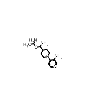 CC(N)OC(N)C1CCN(c2ccncc2N)CC1